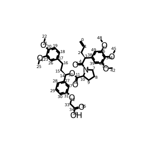 C=CC[C@H](C(=O)N1CCCC1C(=O)O[C@H](CCc1ccc(OC)c(OC)c1)c1cccc(OCC(=O)O)c1)c1cc(OC)c(OC)c(OC)c1